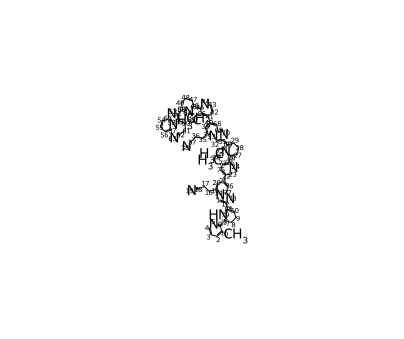 Cc1cccnc1[C@@H]1CCC[C@H](c2cn3c(CCC#N)cc(-c4cnc([C@@H]5CCC[C@H](c6cn7c(CCC#N)cc(-c8ccnc([C@@H]9CCC[C@H](c%10nc%11ccccn%11c%10CCC#N)N9C)c8C)cc7n6)N5C)c(C)c4)cc3n2)N1